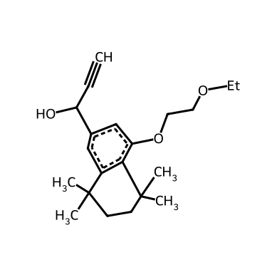 C#CC(O)c1cc(OCCOCC)c2c(c1)C(C)(C)CCC2(C)C